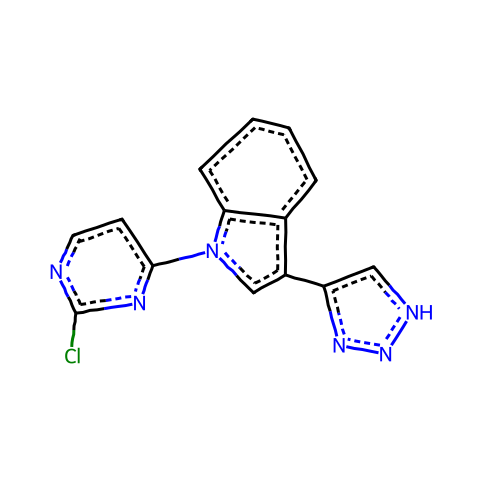 Clc1nccc(-n2cc(-c3c[nH]nn3)c3ccccc32)n1